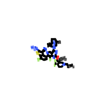 CCN1CC[C@H](C(F)F)[C@](C)(COc2nc(N3C[C@H]4CC[C@@H](C3)N4)c3cnc(-c4ccc(F)c5sc(N)c(C#N)c45)c(F)c3n2)C1